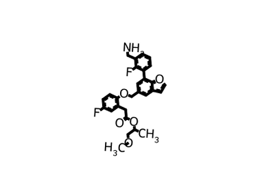 COCC(C)OC(=O)Cc1cc(F)ccc1OCc1cc(-c2cccc(CN)c2F)c2occc2c1